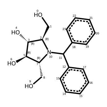 OC[C@@H]1[C@@H](O)[C@H](O)[C@@H](CO)N1C(c1ccccc1)c1ccccc1